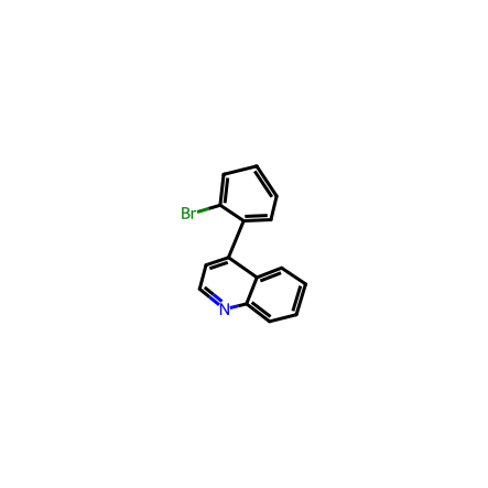 Brc1ccccc1-c1ccnc2ccccc12